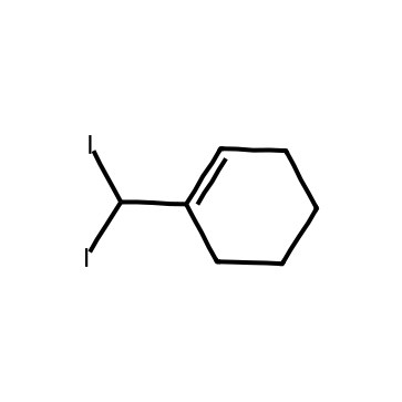 IC(I)C1=CCCCC1